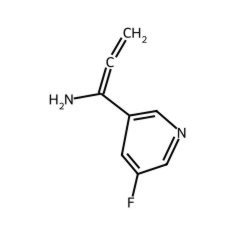 C=C=C(N)c1cncc(F)c1